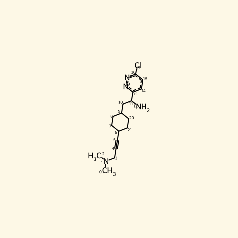 CN(C)CC#CC1CCC(CC(N)c2ccc(Cl)nn2)CC1